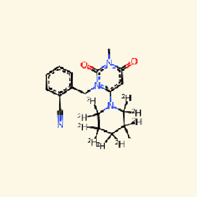 [2H]C1([2H])N(c2cc(=O)n(C)c(=O)n2Cc2ccccc2C#N)C([2H])([2H])[C@]([2H])(C)C([2H])([2H])C1([2H])[2H]